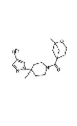 CCCc1cnn(C2(C)CCN(C(=O)C34CCOC(C)(C3)C4)CC2)c1